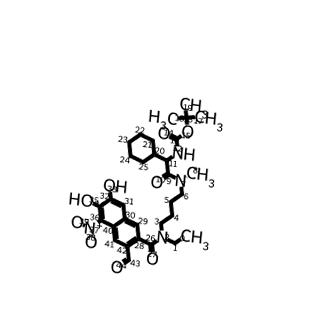 CCN(CCCCN(C)C(=O)C(NC(=O)OC(C)(C)C)C1CCCCC1)C(=O)c1cc2cc(O)c(O)c([N+](=O)[O-])c2cc1C=O